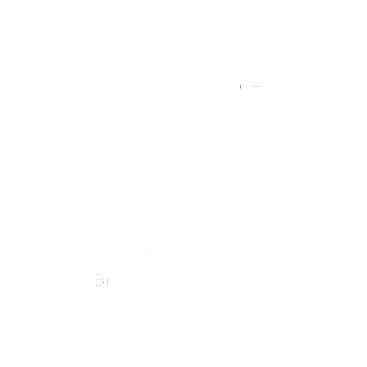 CC1CC2CC3(Br)CC(C1)(C2)C3